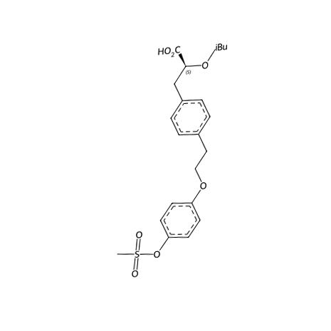 CCC(C)O[C@@H](Cc1ccc(CCOc2ccc(OS(C)(=O)=O)cc2)cc1)C(=O)O